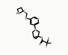 O=C(OC12CC1CN(c1cncc(OC[C@@H]3CCN3)c1)C2)C(F)(F)F